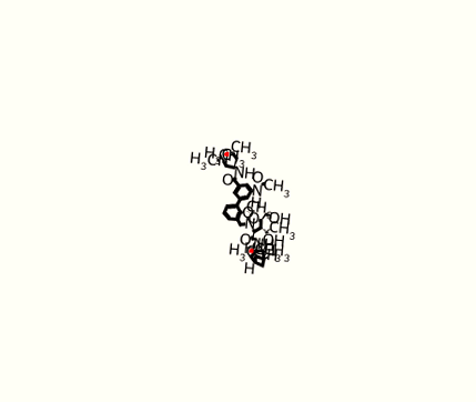 COc1c(CN2O[C@@H](CO)[C@H]([C@H](C)O)[C@H]2C(=O)N[C@H]2C[C@H]3C[C@@H]([C@@H]2C)C3(C)C)cccc1-c1cc(NC(C)=O)cc(C(=O)N[C@H](CC(C)C)CN(C)C)c1